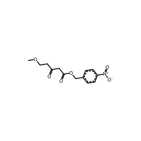 COCCC(=O)CC(=O)OCc1ccc([N+](=O)[O-])cc1